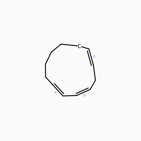 [CH]1CC/C=C\C/C=C\C=C\CC1